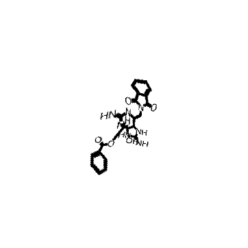 N=C1NC2C(CN3C(=O)c4ccccc4C3=O)NC(=N)N3CC(OC(=O)c4ccccc4)[C@@H](O)C23N1